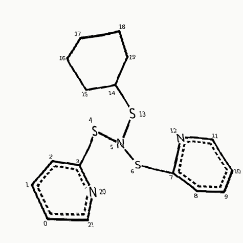 c1ccc(SN(Sc2ccccn2)SC2CCCCC2)nc1